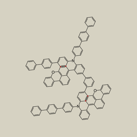 c1ccc(-c2ccc(-c3ccc(N(c4ccc(-c5cccc(-c6ccc(N(c7ccc(-c8ccc(-c9ccccc9)cc8)cc7)c7ccc(-c8ccc(-c9ccccc9)cc8)cc7)c(-c7ccc8c9c(cccc79)-c7ccccc7O8)c6)c5)cc4)c4ccccc4-c4ccc5c6c(cccc46)-c4ccccc4O5)cc3)cc2)cc1